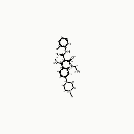 Cc1cccnc1NC(=O)c1c(OI)c2ccc(N3CCN(C)CC3)cc2n(CC(C)C)c1=O